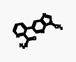 Cn1cnc2cc(-c3cccnc3C(N)=O)cnc21